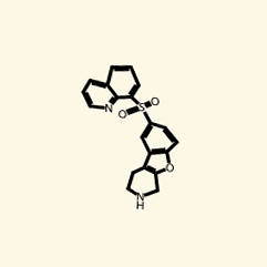 O=S(=O)(c1ccc2oc3c(c2c1)CCNC3)c1cccc2cccnc12